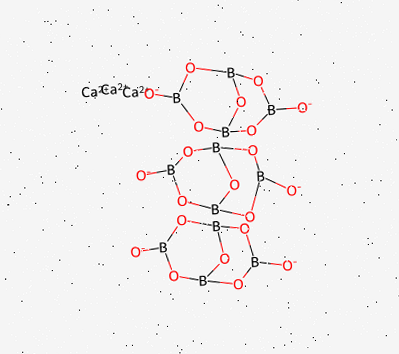 [Ca+2].[Ca+2].[Ca+2].[O-]B1OB2OB([O-])OB(O1)O2.[O-]B1OB2OB([O-])OB(O1)O2.[O-]B1OB2OB([O-])OB(O1)O2